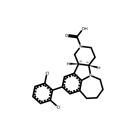 O=C(O)N1CC[C@H]2[C@@H](C1)c1cc(-c3c(Cl)cccc3Cl)cc3c1N2CCCC3